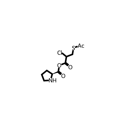 CC(=O)SCC(Cl)C(=O)OC(=O)[C@@H]1CCCN1